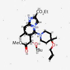 C=CCOC1(C)CCN(c2c([C@H](OC(C)(C)C)C(=O)OC)c(C)cc3nc(C(=O)OCC)cn23)CC1